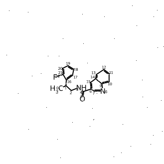 CC(CNC(=O)c1cnc2ccccc2c1)c1ccccc1F